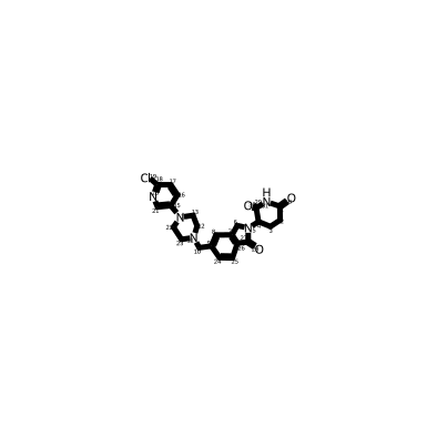 O=C1CCC(N2Cc3cc(CN4CCN(c5ccc(Cl)nc5)CC4)ccc3C2=O)C(=O)N1